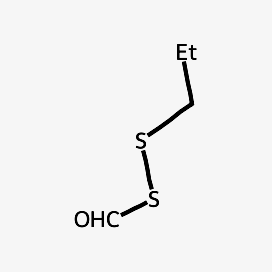 CCCSSC=O